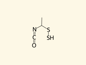 CC(N=C=O)SS